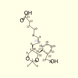 CC1(C)OC[C@@H](C/C=C\CCCCC(=O)O)[C@@H](c2ccccc2CO)O1